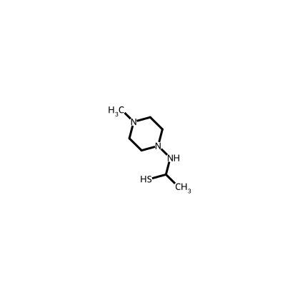 CC(S)NN1CCN(C)CC1